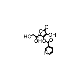 O=C1O[C@H]([C@@H](O)CO)C(OC(=O)c2cccnc2)=C1O